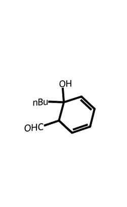 CCCCC1(O)C=CC=CC1C=O